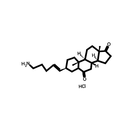 C[C@]12CC[C@H](/C=C/CCCN)CC1C(=O)C[C@@H]1[C@@H]2CC[C@]2(C)C(=O)CC[C@@H]12.Cl